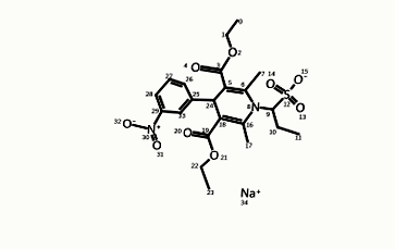 CCOC(=O)C1=C(C)N(C(CC)S(=O)(=O)[O-])C(C)=C(C(=O)OCC)C1c1cccc([N+](=O)[O-])c1.[Na+]